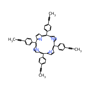 CC#Cc1ccc(-c2c3nc(c(-c4ccc(C#CC)cc4)c4ccc([nH]4)c(-c4ccc(C#CC)cc4)c4nc(c(-c5ccc(C#CC)cc5)c5ccc2[nH]5)C=C4)C=C3)cc1